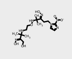 CC(C)(NCCONC(C)(C)C(CCn1ccnc1[N+](=O)[O-])=NO)C(CO)=NO